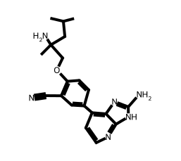 CC(C)CC(C)(N)COc1ccc(-c2ccnc3[nH]c(N)nc23)cc1C#N